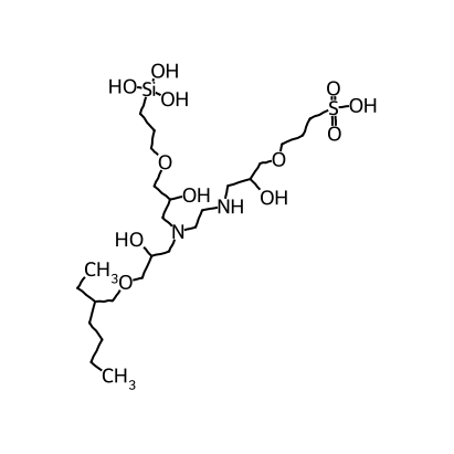 CCCCC(CC)COCC(O)CN(CCNCC(O)COCCCS(=O)(=O)O)CC(O)COCCC[Si](O)(O)O